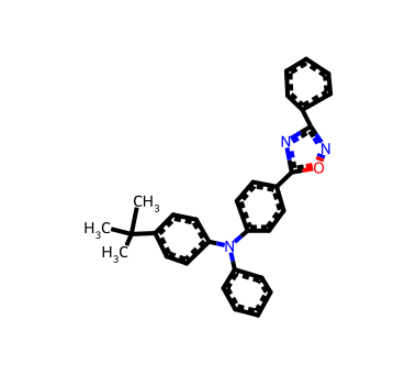 CC(C)(C)c1ccc(N(c2ccccc2)c2ccc(-c3nc(-c4ccccc4)no3)cc2)cc1